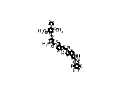 COc1cc(N2CCCC2)c(OC)cc1/N=N/c1cc(C(=O)N2CCc3c2ccc2[nH]c(C(=O)N4CCc5c4ccc4[nH]c(C(=O)Oc6c(F)c(F)c(F)c(F)c6F)cc54)cc32)n(C)c1